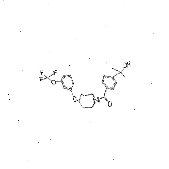 CC(C)(O)c1ccc(C(=O)N2CCC(Oc3cccc(OC(F)(F)F)c3)CC2)cc1